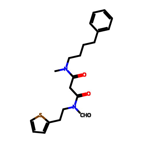 CN(CCCCc1ccccc1)C(=O)CC(=O)N(C=O)CCc1cccs1